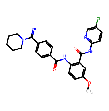 COc1ccc(NC(=O)c2ccc(C(=N)N3CCCCC3)cc2)c(C(=O)Nc2ccc(Cl)cn2)c1